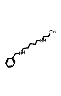 OCCNCCCCCNCc1ccccc1